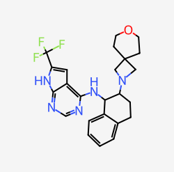 FC(F)(F)c1cc2c(NC3c4ccccc4CCC3N3CC4(CCOCC4)C3)ncnc2[nH]1